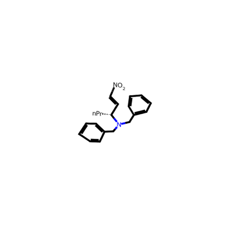 CCC[C@H](/C=C/[N+](=O)[O-])N(Cc1ccccc1)Cc1ccccc1